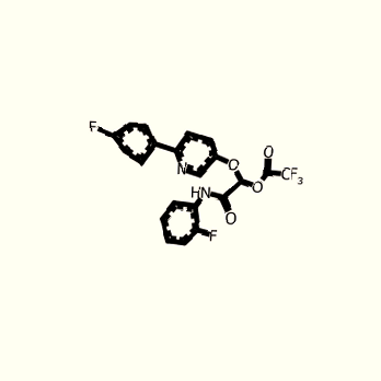 O=C(Nc1ccccc1F)C(OC(=O)C(F)(F)F)Oc1ccc(-c2ccc(F)cc2)nc1